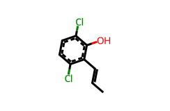 CC=Cc1c(Cl)ccc(Cl)c1O